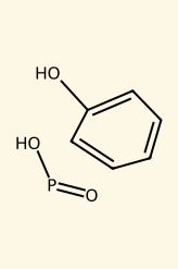 O=PO.Oc1ccccc1